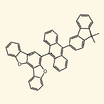 CC1(C)c2ccccc2-c2cc(-c3c4ccccc4c(-c4cc5c6ccccc6oc5c5c4oc4ccccc45)c4ccccc34)ccc21